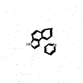 c1ccc2c(c1)ccc1[nH]ccc12.c1ccncc1